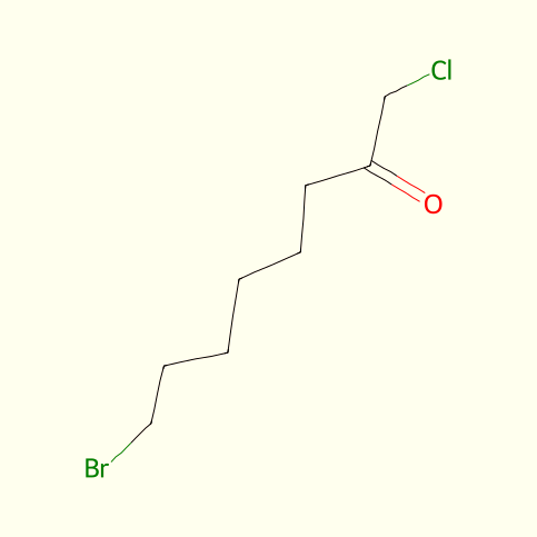 O=C(CCl)CCCCCCBr